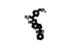 NC(C1CCN(CC(F)(F)F)CC1)N1Cc2c(cnc3c2ccn3S(=O)(=O)c2ccccc2)N1